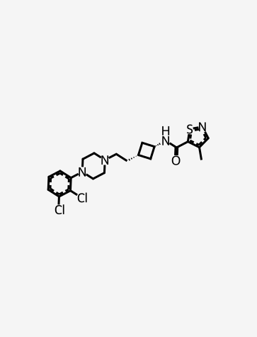 Cc1cnsc1C(=O)N[C@H]1C[C@@H](CCN2CCN(c3cccc(Cl)c3Cl)CC2)C1